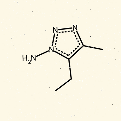 CCc1c(C)nnn1N